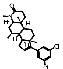 C[C@H]1C[C@H]2N(C)C(=O)CC[C@]2(C)[C@H]2CC[C@]3(C)C(c4cc(Cl)cc(Cl)c4)=CC[C@H]3[C@H]12